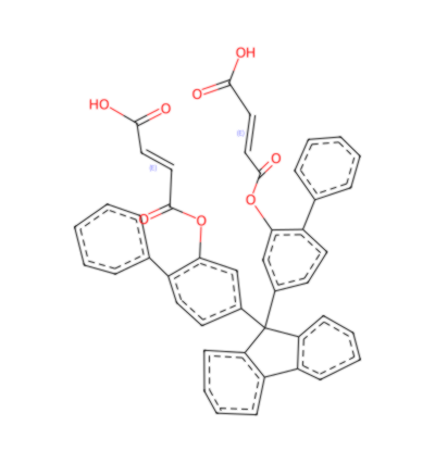 O=C(O)/C=C/C(=O)Oc1cc(C2(c3ccc(-c4ccccc4)c(OC(=O)/C=C/C(=O)O)c3)c3ccccc3-c3ccccc32)ccc1-c1ccccc1